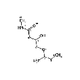 CCC(C)OCC(O)CC(=O)NC